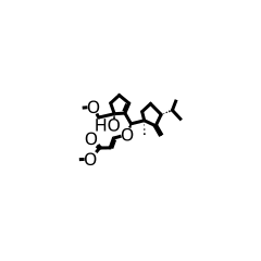 C=C1[C@@H](C(C)C)CC[C@]1(C)[C@@H](O/C=C/C(=O)OC)C1=CCC[C@]1(O)COC